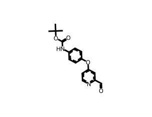 CC(C)(C)OC(=O)Nc1ccc(Oc2ccnc(C=O)c2)cc1